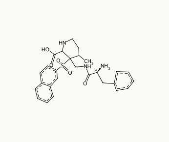 CC1CCNC(C(=O)O)C1(CNC(=O)[C@@H](N)Cc1ccccc1)S(=O)(=O)c1ccc2ccccc2c1